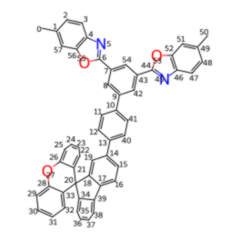 Cc1ccc2nc(-c3cc(-c4ccc(-c5ccc6c(c5)C5(c7ccccc7Oc7ccccc75)c5ccccc5-6)cc4)cc(-c4nc5ccc(C)cc5o4)c3)oc2c1